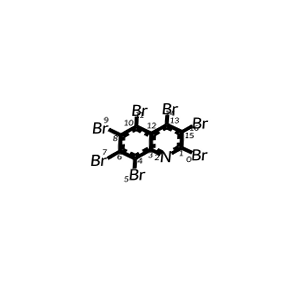 Brc1nc2c(Br)c(Br)c(Br)c(Br)c2c(Br)c1Br